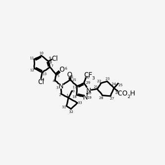 CC1(CN(CC(=O)c2c(Cl)cccc2Cl)C(=O)c2cnn(C3CCC(C)(C(=O)O)CC3)c2C(F)(F)F)CCC1